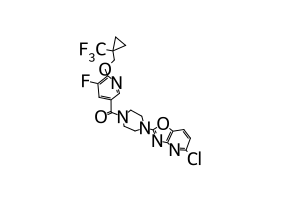 O=C(c1cnc(OCC2(C(F)(F)F)CC2)c(F)c1)N1CCN(c2nc3nc(Cl)ccc3o2)CC1